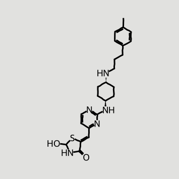 Cc1ccc(CCCN[C@H]2CC[C@H](Nc3nccc(/C=C4\SC(O)NC4=O)n3)CC2)cc1